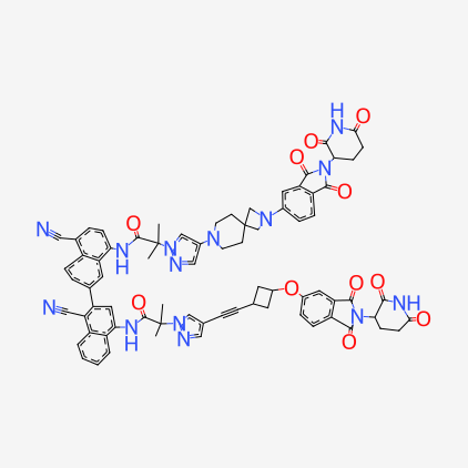 CC(C)(C(=O)Nc1ccc(C#N)c2ccc(-c3cc(NC(=O)C(C)(C)n4cc(C#CC5CC(Oc6ccc7c(c6)C(=O)N(C6CCC(=O)NC6=O)C7=O)C5)cn4)c4ccccc4c3C#N)cc12)n1cc(N2CCC3(CC2)CN(c2ccc4c(c2)C(=O)N(C2CCC(=O)NC2=O)C4=O)C3)cn1